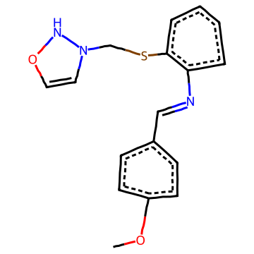 COc1ccc(/C=N/c2ccccc2SCN2C=CON2)cc1